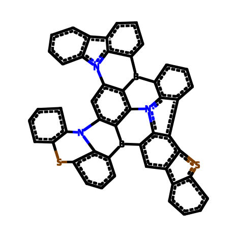 c1ccc2c(c1)Sc1cccc3c1N2c1cc2c4c5c1B3c1cc3c6ccccc6sc3c3c6cccc(c6n-5c13)B4c1cccc3c4ccccc4n-2c13